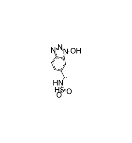 O=[SH](=O)N[CH]c1ccc2nnn(O)c2c1